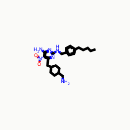 CCCCCc1ccc(CNc2nc(N)c([N+](=O)[O-])c(CC3CCC(CN)CC3)n2)cc1